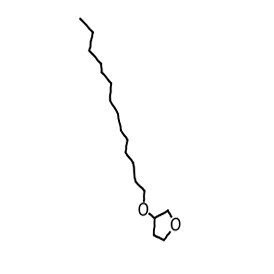 CCCCCCCCCCCCCCOC1CCOC1